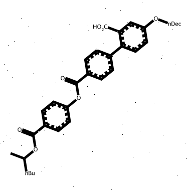 CCCCCCCCCCOc1ccc(-c2ccc(C(=O)Oc3ccc(C(=O)OC(C)CCCC)cc3)cc2)c(C(=O)O)c1